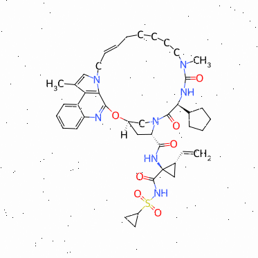 C=C[C@@H]1C[C@]1(NC(=O)[C@@H]1C[C@@H]2CN1C(=O)[C@H](C1CCCC1)NC(=O)N(C)CCCCC/C=C/Cn1cc(C)c3c4ccccc4nc(c31)O2)C(=O)NS(=O)(=O)C1CC1